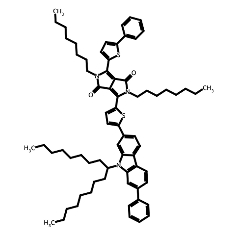 CCCCCCCCC(CCCCCCCC)n1c2cc(-c3ccccc3)ccc2c2ccc(-c3ccc(C4=C5C(=O)N(CCCCCCCC)C(c6ccc(-c7ccccc7)s6)=C5C(=O)N4CCCCCCCC)s3)cc21